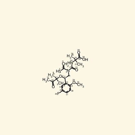 C=C(S)N(C[C@H](OC(C)(C)C(C)=O)c1cc(F)ccc1OC)C(=O)NC(C)(C)C(=O)O